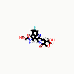 CC[C@@]1(O)C(=O)OCc2c1cc1n(c2=O)Cc2c-1nc1cc(F)c(C)c3c1c2C(C)(NC(=O)CO)C3